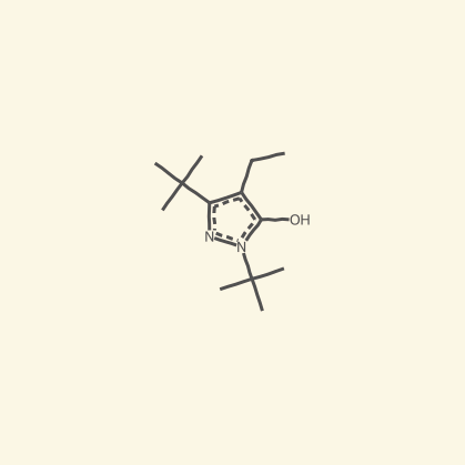 CCc1c(C(C)(C)C)nn(C(C)(C)C)c1O